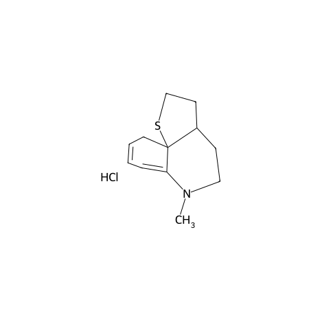 CN1CCC2CCSC23CC=CC=C13.Cl